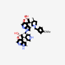 COc1ccc(CN2CC[C@H](C)[C@H](C3=CB(O)Oc4cnc5c(ccn5C[C@H]5CNCC[C@H]5C5=CB(O)Oc6cnc7[nH]ccc7c65)c43)C2)cc1